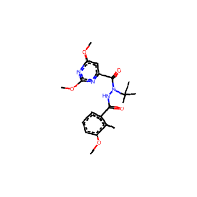 COc1cc(C(=O)N(NC(=O)c2cccc(OC)c2C)C(C)(C)C)nc(OC)n1